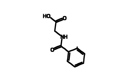 O=C(O)CNC(=O)c1[c]cccc1